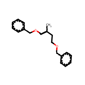 CC(CCOCc1ccccc1)COCc1ccccc1